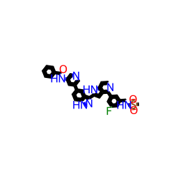 CS(=O)(=O)NCc1cc(F)cc(-c2nccc3[nH]c(-c4n[nH]c5ccc(-c6cncc(NC(=O)c7ccccc7)c6)cc45)cc23)c1